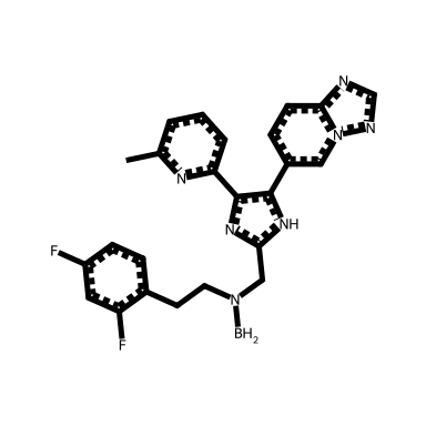 BN(CCc1ccc(F)cc1F)Cc1nc(-c2cccc(C)n2)c(-c2ccc3ncnn3c2)[nH]1